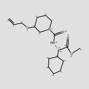 C=CCOC1CCCN(C(=O)N[C@H](C(=O)OC)C2CCCCC2)C1